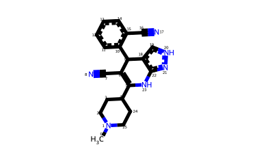 CN1CCC(C2=C(C#N)C(c3ccccc3C#N)c3c[nH]nc3N2)CC1